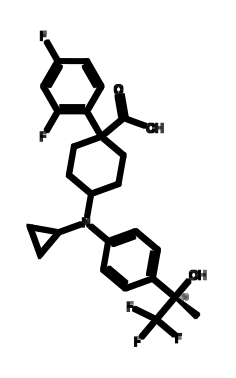 C[C@](O)(c1ccc(N(C2CC2)C2CCC(C(=O)O)(c3ccc(F)cc3F)CC2)cc1)C(F)(F)F